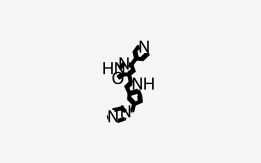 CN1CCN(Cc2ccc3[nH]c(-c4cc(-c5ccncc5)n[nH]c4=O)cc3c2)CC1